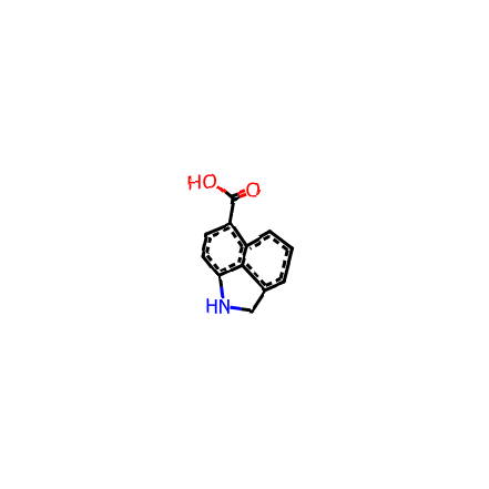 O=C(O)c1ccc2c3c(cccc13)CN2